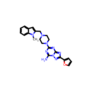 Cn1c(CN2CCN(c3nc(N)n4nc(-c5ccco5)nc4n3)CC2)cc2ccccc21